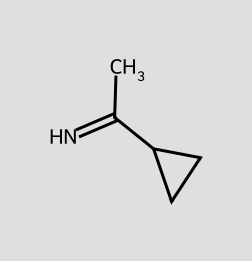 CC(=N)C1CC1